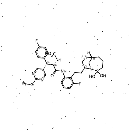 CC(C)Oc1ncc([C@H](c2ccc(F)cc2)[C@H](NC(=O)O)C(=O)Nc2cccc(F)c2CC[C@H]2CN[C@@H]3CCCS(O)(O)N2C3)cn1